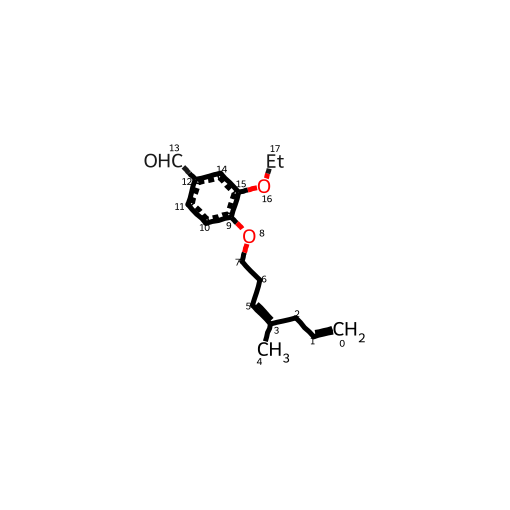 C=CCC(C)=CCCOc1ccc(C=O)cc1OCC